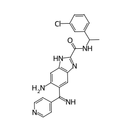 CC(NC(=O)c1nc2cc(C(=N)c3ccncc3)c(N)cc2[nH]1)c1cccc(Cl)c1